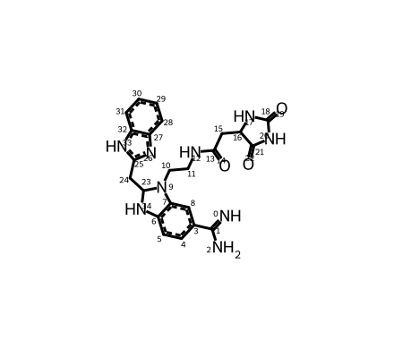 N=C(N)c1ccc2c(c1)N(CCNC(=O)CC1NC(=O)NC1=O)C(Cc1nc3ccccc3[nH]1)N2